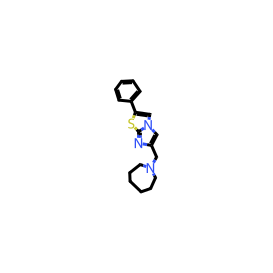 c1ccc(-c2cn3cc(CN4CCCCCC4)nc3s2)cc1